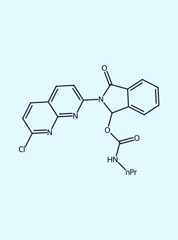 CCCNC(=O)OC1c2ccccc2C(=O)N1c1ccc2ccc(Cl)nc2n1